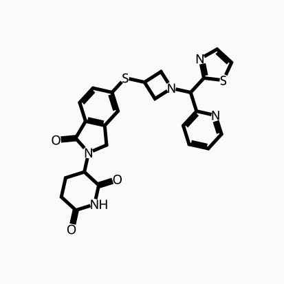 O=C1CCC(N2Cc3cc(SC4CN(C(c5ccccn5)c5nccs5)C4)ccc3C2=O)C(=O)N1